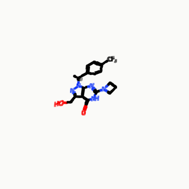 C[C@@H](c1ccc(C(F)(F)F)cc1)n1nc(CO)c2c(=O)[nH]c(N3CCC3)nc21